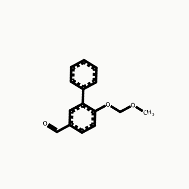 COCOc1ccc(C=O)cc1-c1ccccc1